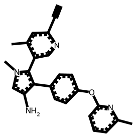 C#Cc1cc(C)c(-c2c(-c3ccc(Oc4cccc(C)n4)cc3)c(N)cn2C)cn1